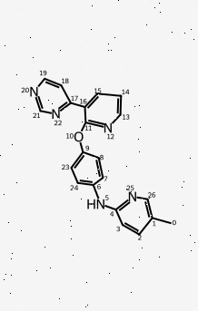 Cc1ccc(Nc2ccc(Oc3ncccc3-c3ccncn3)cc2)nc1